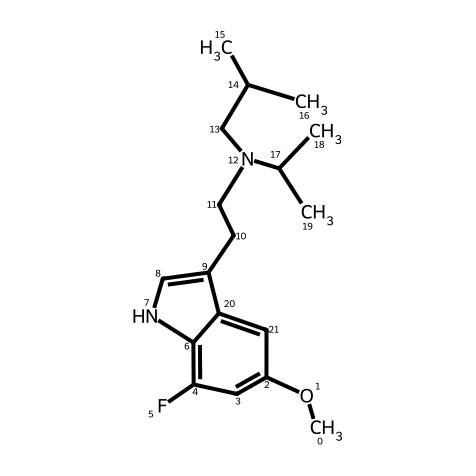 COc1cc(F)c2[nH]cc(CCN(CC(C)C)C(C)C)c2c1